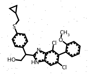 COc1ccccc1-c1c(Cl)cc2[nH]c(C(CO)c3ccc(SCC4CC4)cc3)nc2c1Cl